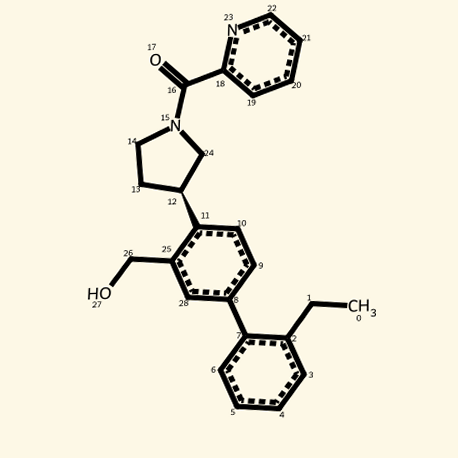 CCc1ccccc1-c1ccc([C@H]2CCN(C(=O)c3ccccn3)C2)c(CO)c1